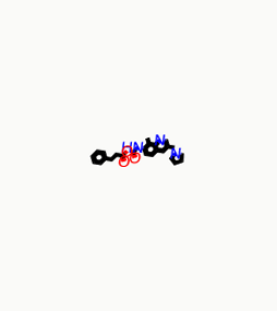 Cc1c(NC(=O)OC(=O)CCc2ccccc2)ccc2cc(CN3CCCC3)cnc12